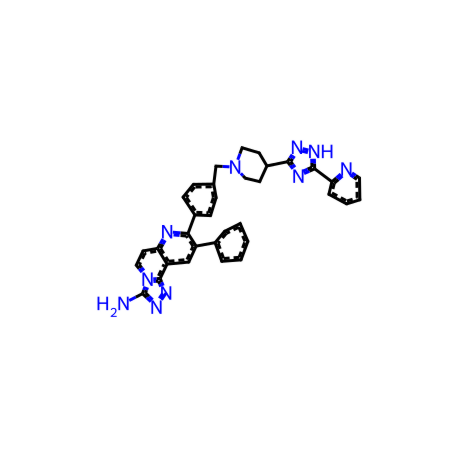 Nc1nnc2c3cc(-c4ccccc4)c(-c4ccc(CN5CCC(c6n[nH]c(-c7ccccn7)n6)CC5)cc4)nc3ccn12